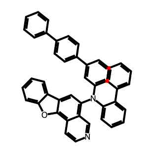 c1ccc(-c2ccc(-c3cccc(N(c4ccccc4-c4ccccc4)c4cc5c6ccccc6oc5c5ccncc45)c3)cc2)cc1